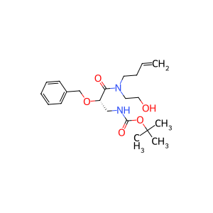 C=CCCN(CCO)C(=O)[C@H](CNC(=O)OC(C)(C)C)OCc1ccccc1